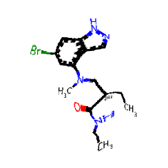 CCNC(=O)[C@H](CC)CN(C)c1cc(Br)cc2[nH]ncc12